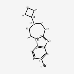 Brc1ccc2c(c1)nc1n2CCN(C2CCC2)CC1